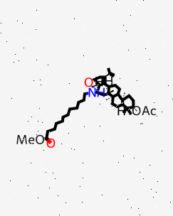 C=C(C)[C@@H]1CC[C@]2(C(=O)NCCCCCCCCCCCC(=O)OC)CC[C@]3(C)[C@H](CCC4[C@@]5(C)CC[C@H](OC(C)=O)C(C)(C)[C@@H]5CC[C@]43C)[C@@H]12